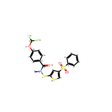 CN(Sc1cc(S(=O)(=O)c2ccccc2)cs1)C(=O)c1ccc(OC(F)F)cc1